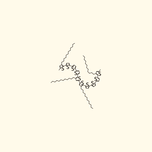 CCCCCCCCCCCCc1cc(C)sc1-c1ccc(-c2ccc(-c3ccc(-c4sc(-c5cc(CCCCCCCCCCCC)c(-c6ccc(-c7ccc(-c8ccc(-c9sc(C)cc9CCCCCCCCCCCC)s8)s7)s6)s5)cc4CCCCCCCCCCCC)s3)s2)s1